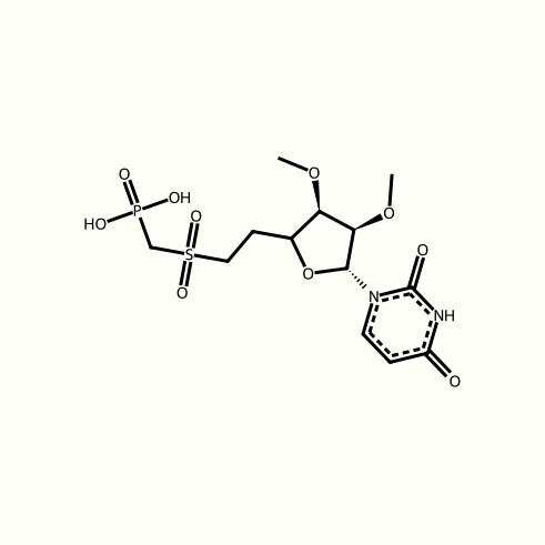 CO[C@@H]1[C@H](OC)C(CCS(=O)(=O)CP(=O)(O)O)O[C@H]1n1ccc(=O)[nH]c1=O